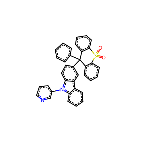 O=S1(=O)c2ccccc2C(c2ccccc2)(c2ccc3c(c2)c2ccccc2n3-c2cccnc2)c2ccccc21